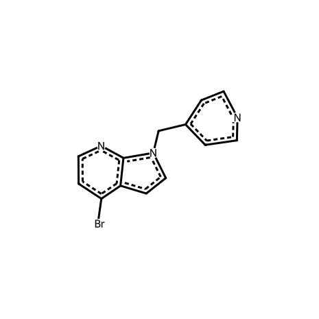 Brc1ccnc2c1ccn2Cc1ccncc1